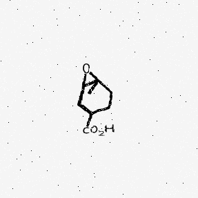 CC12CCC(C(=O)O)CC1O2